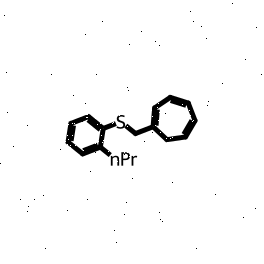 CCCc1ccccc1SCC1=CC=CC=CC1